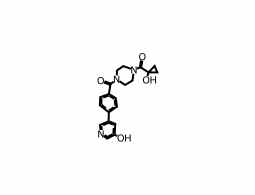 O=C(c1ccc(-c2cncc(O)c2)cc1)N1CCN(C(=O)C2(O)CC2)CC1